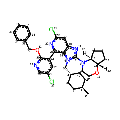 C[C@H]1CC[C@H](Cn2c(N3CCO[C@H]4CCC[C@@H]43)nc3cc(Cl)nc(-c4cc(Cl)cnc4OCc4ccccc4)c32)CC1